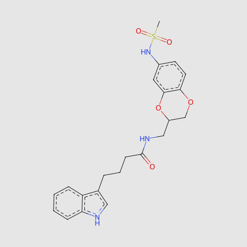 CS(=O)(=O)Nc1ccc2c(c1)OC(CNC(=O)CCCc1c[nH]c3ccccc13)CO2